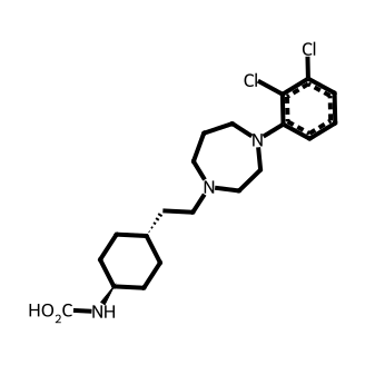 O=C(O)N[C@H]1CC[C@H](CCN2CCCN(c3cccc(Cl)c3Cl)CC2)CC1